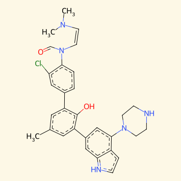 Cc1cc(-c2ccc(N(C=O)/C=C\N(C)C)c(Cl)c2)c(O)c(-c2cc(N3CCNCC3)c3cc[nH]c3c2)c1